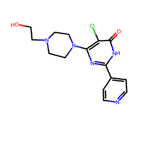 O=c1[nH]c(-c2ccncc2)nc(N2CCN(CCO)CC2)c1Cl